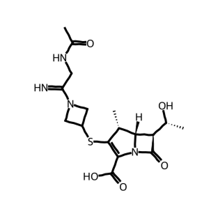 CC(=O)NCC(=N)N1CC(SC2=C(C(=O)O)N3C(=O)[C@H]([C@@H](C)O)[C@H]3[C@H]2C)C1